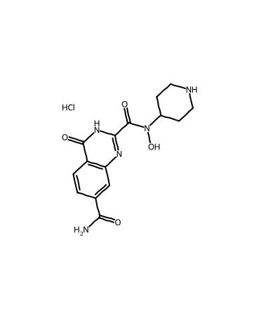 Cl.NC(=O)c1ccc2c(=O)[nH]c(C(=O)N(O)C3CCNCC3)nc2c1